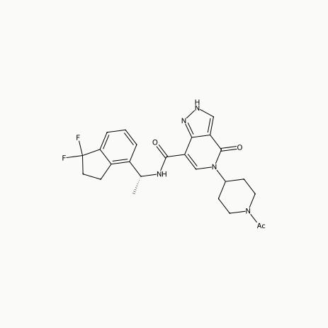 CC(=O)N1CCC(n2cc(C(=O)N[C@H](C)c3cccc4c3CCC4(F)F)c3n[nH]cc3c2=O)CC1